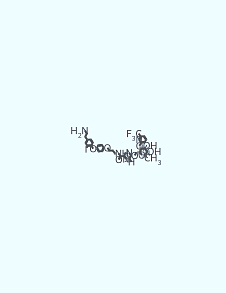 [2H]c1nc(C(=O)NCCCOc2ccc(Oc3ccc(CCN)cc3I)cc2)cnc1OC[C@H]1O[C@H](C)[C@H](O)[C@H](O)[C@H]1Oc1cccc(C(F)(F)F)n1